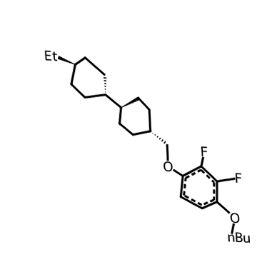 CCCCOc1ccc(OC[C@H]2CC[C@H]([C@H]3CC[C@H](CC)CC3)CC2)c(F)c1F